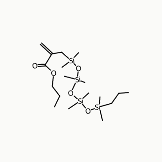 C=C(C[Si](C)(C)O[Si](C)(C)O[Si](C)(C)O[Si](C)(C)CCC)C(=O)OCCC